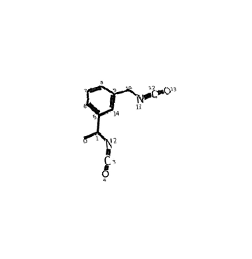 CC(N=C=O)c1cccc(CN=C=O)c1